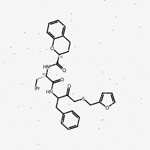 CC(C)C[C@H](NC(=O)[C@@H]1CCc2ccccc2O1)C(=O)NC(Cc1ccccc1)C(=O)CSCc1ccco1